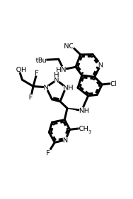 Cc1nc(F)ccc1[C@H](Nc1cc(Cl)c2ncc(C#N)c(NCC(C)(C)C)c2c1)C1=CN(C(F)(F)CO)NN1